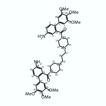 COc1cc(-c2ccc(N)cc2C(=O)N2CCN(CCCN3CCN(C(=O)c4cc(N)ccc4-c4cc(OC)c(OC)c(OC)c4)CC3)CC2)cc(OC)c1OC